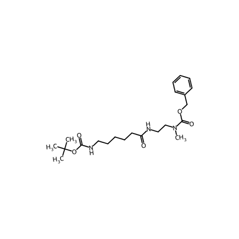 CN(CCNC(=O)CCCCCNC(=O)OC(C)(C)C)C(=O)OCc1ccccc1